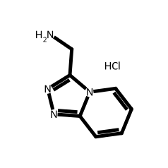 Cl.NCc1nnc2ccccn12